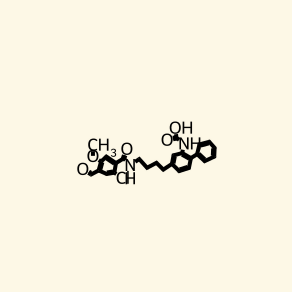 COc1cc(C(=O)NCCCCc2ccc(-c3ccccc3)c(NC(=O)O)c2)c(Cl)cc1C=O